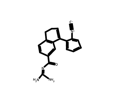 [C-]#[N+]c1ccccc1C1=CCCc2ccc(C(=O)N=C(N)N)cc21